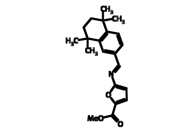 COC(=O)c1ccc(N=Cc2ccc3c(c2)C(C)(C)CCC3(C)C)o1